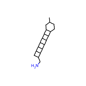 CC1CCC2C(C1)C1C2C2C1C1C3C4CC(CN)C4C3C21